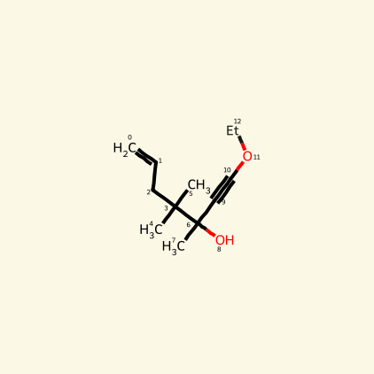 C=CCC(C)(C)C(C)(O)C#COCC